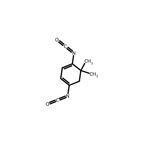 CC1(C)CC(N=C=O)=CC=C1N=C=O